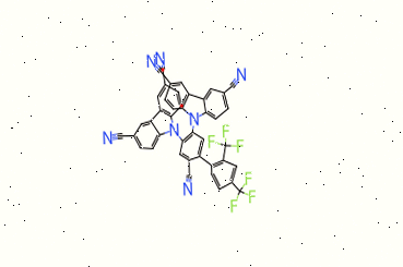 N#Cc1ccc2c(c1)c1cc(C#N)ccc1n2-c1cc(C#N)c(-c2ccc(C(F)(F)F)cc2C(F)(F)F)cc1-n1c2ccc(C#N)cc2c2cc(C#N)ccc21